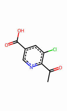 CC(=O)c1ncc(C(=O)O)cc1Cl